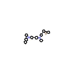 c1ccc(N(c2ccc(-c3ccc(-n4c5ccccc5c5cc6ccccc6cc54)cc3)cc2)c2ccc(-c3cccc4c3sc3ccccc34)cc2)cc1